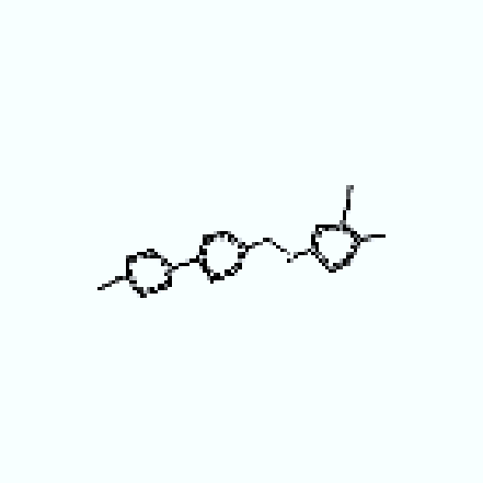 Cc1ccc(-c2ccc(COc3ccc(C)c(F)c3)cc2)cc1